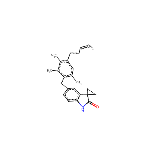 C=CCCc1cc(C)c(Cc2ccc3c(c2)C2(CC2)C(=O)N3)c(C)c1C